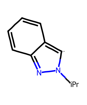 CC(C)n1[c]c2ccccc2n1